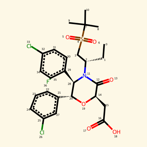 CC[C@@H](CS(=O)(=O)C(C)(C)C)N1C(=O)[C@@H](CC(=O)O)O[C@H](c2cccc(Cl)c2)[C@H]1c1ccc(Cl)cc1F